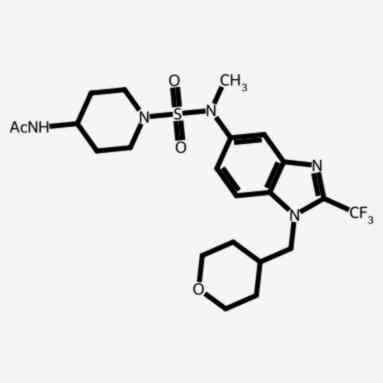 CC(=O)NC1CCN(S(=O)(=O)N(C)c2ccc3c(c2)nc(C(F)(F)F)n3CC2CCOCC2)CC1